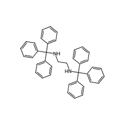 c1ccc(C(NCCNC(c2ccccc2)(c2ccccc2)c2ccccc2)(c2ccccc2)c2ccccc2)cc1